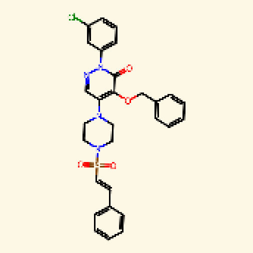 O=c1c(OCc2ccccc2)c(N2CCN(S(=O)(=O)/C=C/c3ccccc3)CC2)cnn1-c1cccc(Cl)c1